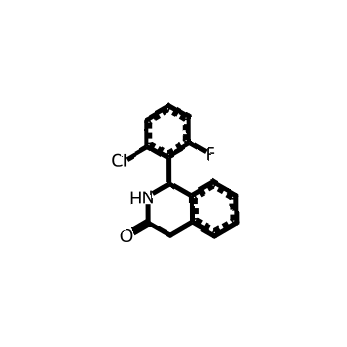 O=C1Cc2ccccc2C(c2c(F)cccc2Cl)N1